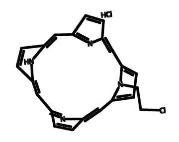 Cl.ClCCn1c2ccc1cc1nc(cc3ccc(cc4nc(c2)C=C4)[nH]3)C=C1